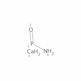 NP=O.[CaH2]